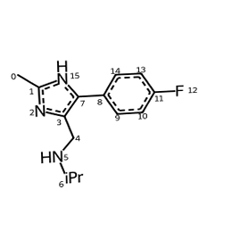 Cc1nc(CNC(C)C)c(-c2ccc(F)cc2)[nH]1